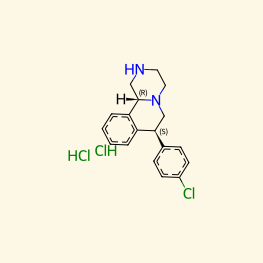 Cl.Cl.Clc1ccc([C@@H]2CN3CCNC[C@H]3c3ccccc32)cc1